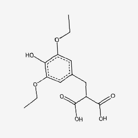 CCOc1cc(CC(C(=O)O)C(=O)O)cc(OCC)c1O